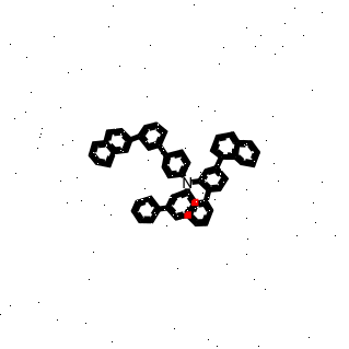 c1ccc(-c2cccc(N(c3ccc(-c4cccc(-c5ccc6ccccc6c5)c4)cc3)c3cc(-c4cccc5ccccc45)ccc3-c3ccccc3)c2)cc1